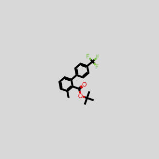 Cc1cccc(-c2ccc(C(F)(F)F)cc2)c1C(=O)OC(C)(C)C